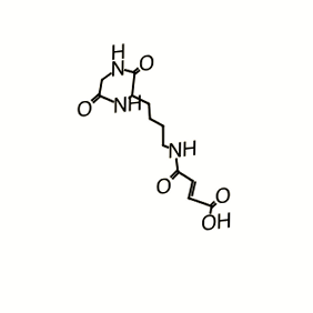 O=C(O)C=CC(=O)NCCCCC1NC(=O)CNC1=O